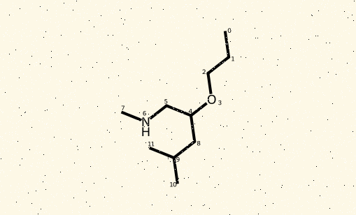 CCCOC(CNC)CC(C)C